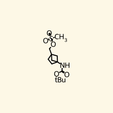 CC(C)(C)OC(=O)NC12CCC(COS(C)(=O)=O)(C1)C2